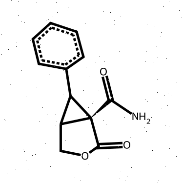 NC(=O)[C@@]12C(=O)OCC1C2c1ccccc1